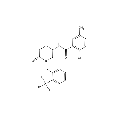 Cc1ccc(O)c(C(=O)NC2CCC(=O)N(Cc3ccccc3C(F)(F)F)C2)c1